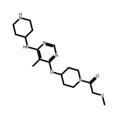 COCC(=O)N1CCC(Oc2ncnc(NC3CCNCC3)c2C)CC1